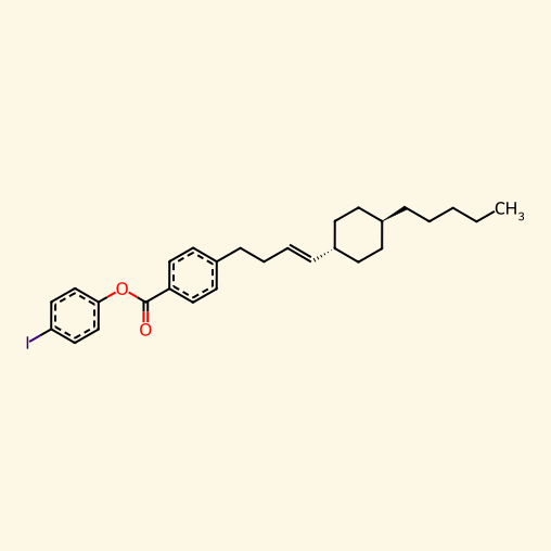 CCCCC[C@H]1CC[C@H](C=CCCc2ccc(C(=O)Oc3ccc(I)cc3)cc2)CC1